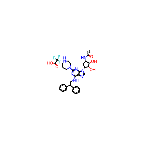 CCC(=O)N[C@H]1C[C@@H](n2cnc3c(NCC(c4ccccc4)c4ccccc4)nc(N4CCCNCC4)nc32)[C@H](O)[C@@H]1O.O=C(O)C(F)(F)F